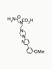 COc1cccc(-c2ccc(N3CCN(CCN(CC(N)=O)C(=O)O)CC3)nc2)c1